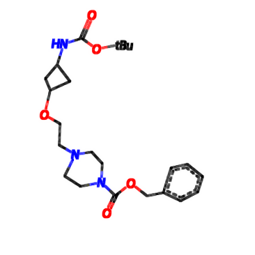 CC(C)(C)OC(=O)NC1CC(OCCN2CCN(C(=O)OCc3ccccc3)CC2)C1